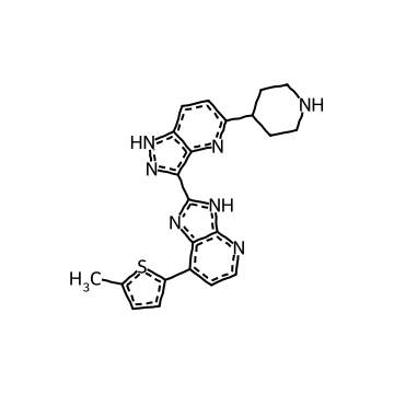 Cc1ccc(-c2ccnc3[nH]c(-c4n[nH]c5ccc(C6CCNCC6)nc45)nc23)s1